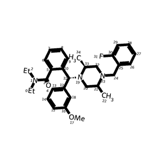 CCN(CC)C(=O)c1ccccc1[C@@H](c1cccc(OC)c1)N1CC(C)N(Cc2ccccc2F)C[C@@H]1C